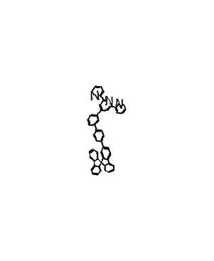 c1ccc(-c2cc(-c3cccc(-c4ccc(-c5ccc6c(c5)C5(c7ccccc7-c7ccccc75)c5ccccc5-6)cc4)c3)cc(-c3ccccn3)n2)nc1